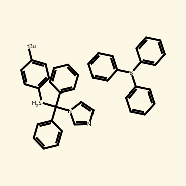 CC(C)(C)c1ccc([SiH2]C(c2ccccc2)(c2ccccc2)n2ccnc2)cc1.c1ccc(B(c2ccccc2)c2ccccc2)cc1